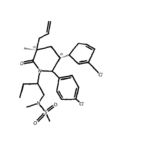 C=CC[C@@]1(C)C[C@H](C2C=C(Cl)C=CC2)C(c2ccc(Cl)cc2)N(C(CC)CN(C)S(C)(=O)=O)C1=O